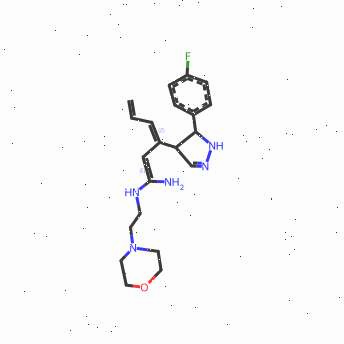 C=C/C=C(\C=C(/N)NCCN1CCOCC1)C1C=NNC1c1ccc(F)cc1